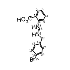 O=C(O)c1ccccc1NC=[SH]Cc1ccc(Br)cc1